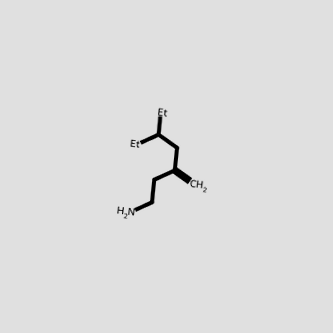 C=C(CCN)CC(CC)CC